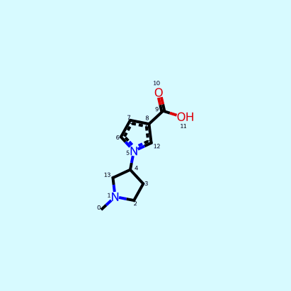 CN1CCC(n2ccc(C(=O)O)c2)C1